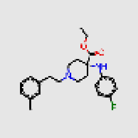 CCOC(=O)C1(Nc2ccc(F)cc2)CCN(CCc2cccc(C)c2)CC1